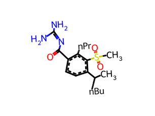 CCCCC(C)c1ccc(C(=O)N=C(N)N)c(CCC)c1S(C)(=O)=O